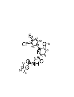 COc1ccc(C(=O)CNC(=O)OC(C)(C)C)nc1-c1ccc(F)c(Cl)c1